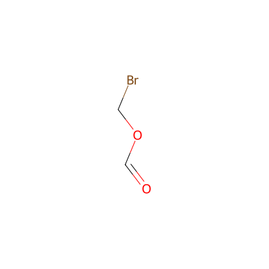 O=COCBr